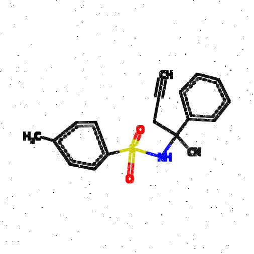 C#CCC(C#N)(NS(=O)(=O)c1ccc(C)cc1)c1ccccc1